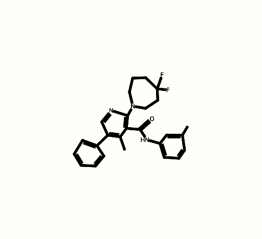 Cc1cccc(NC(=O)c2c(N3CCCC(F)(F)CC3)ncc(-c3ccccc3)c2C)c1